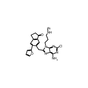 CC(C)NCCCn1c(Cc2cc3c(cc2-c2ccco2)CCC3=O)nc2c(N)nc(Cl)nc21